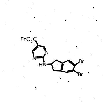 CCOC(=O)c1cnc(NC2Cc3cc(Br)c(Br)cc3C2)nc1